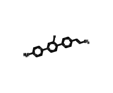 Cc1ccc(-c2ccc(-c3ccc(/C=C/C(F)(F)F)cc3)c(F)c2)cc1